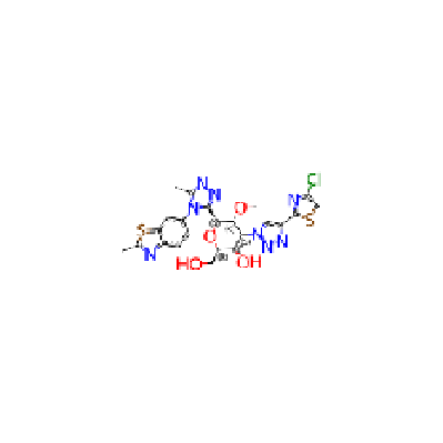 CO[C@@H]1[C@@H](n2cc(-c3nc(Cl)cs3)nn2)[C@@H](O)[C@@H](CO)O[C@H]1c1nnc(C)n1-c1ccc2nc(C)sc2c1